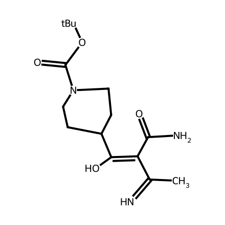 CC(=N)/C(C(N)=O)=C(\O)C1CCN(C(=O)OC(C)(C)C)CC1